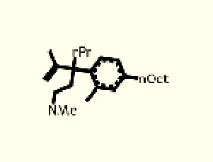 C=C(C)C(CCC)(CCNC)c1ccc(CCCCCCCC)cc1C